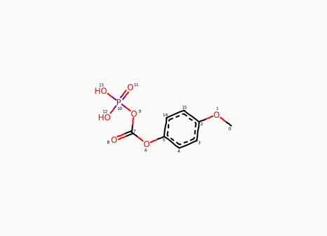 COc1ccc(OC(=O)OP(=O)(O)O)cc1